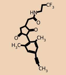 CC#Cc1cc(C)c(C2C(=O)CC(CC(=O)NCCC(F)(F)F)C2=O)c(C)c1